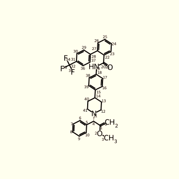 C=C(OC)[C@H](c1ccccc1)N1CCC(c2ccc(NC(=O)c3ccccc3-c3ccc(C(F)(F)F)cc3)cc2)CC1